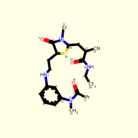 CCN1C(=O)C(CCNc2cccc(N(C)C(=O)C(C)C)c2)SC1CC(C#N)C(=O)NCC(F)(F)F